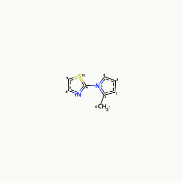 [CH2]c1cccn1-c1nccs1